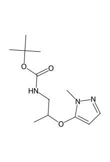 CC(CNC(=O)OC(C)(C)C)Oc1ccnn1C